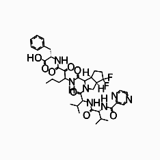 CCCC(NC(=O)C1[C@H]2CCC(F)(F)[C@H]2CN1C(=O)C(NC(=O)[C@H](NC(=O)c1cnccn1)C(C)C)C(C)C)C(=O)C(=O)N[C@@H](Cc1ccccc1)C(=O)O